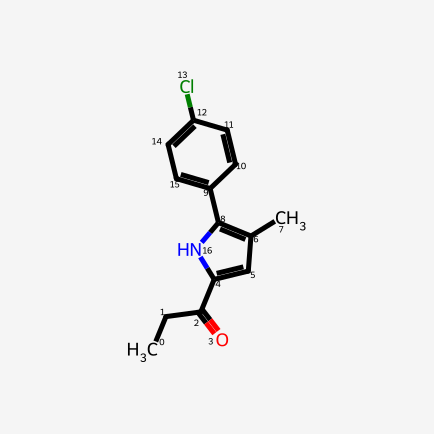 CCC(=O)c1cc(C)c(-c2ccc(Cl)cc2)[nH]1